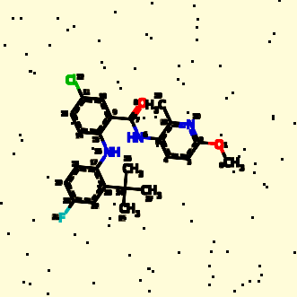 COc1ccc(NC(=O)c2cc(Cl)ccc2Nc2ccc(F)cc2C(C)(C)C)c(C)n1